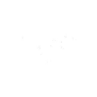 CCCN(CCC)CCN[SiH](NC)NC